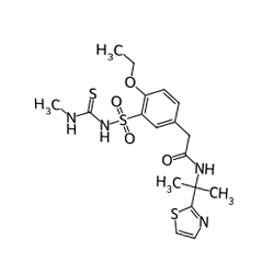 CCOc1ccc(CC(=O)NC(C)(C)c2nccs2)cc1S(=O)(=O)NC(=S)NC